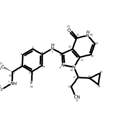 CCN[C@@H](c1ccc(Nc2nn(C(CC#N)C3CC3)c3cc[nH]c(=O)c23)cc1F)C(F)(F)F